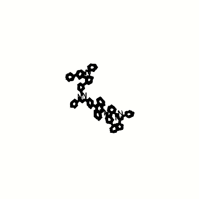 c1ccc(-c2ccc3c(c2)c2c(-c4cccc(-c5nc(-c6ccccc6)cc(-c6ccc(-c7c8ccccc8c(-n8c9ccc(-c%10ccccc%10)cc9c9c(-c%10nc(-c%11ccccc%11)cc(-c%11ccccc%11)n%10)cccc98)c8ccccc78)cc6)n5)c4)cccc2n3-c2ccccc2)cc1